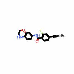 CC(C)(C)C#Cc1ccc(C(=O)Nc2ccc3c(c2)OCCN3)c(F)c1